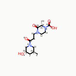 C[C@H]1C[C@H](O)CN(C(=O)CCN2CCN(C(=O)O)[C@@H](C)C2=O)C1